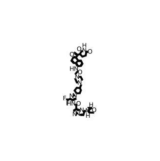 O=C1CCC(c2coc3ccc4c(NC(=O)CN5CCN(CC6CCC(n7cc(NC(=O)c8cnn9ccc(N%10C[C@H]%11C[C@@H]%10CO%11)nc89)c(C(F)F)n7)CC6)CC5)cccc4c23)C(=O)N1